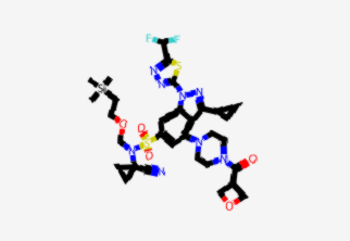 C[Si](C)(C)CCOCN(C1(C#N)CC1)S(=O)(=O)c1cc(N2CCN(C(=O)C3COC3)CC2)c2c(C3CC3)nn(-c3nnc(C(F)F)s3)c2c1